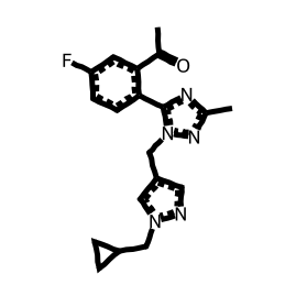 CC(=O)c1cc(F)ccc1-c1nc(C)nn1Cc1cnn(CC2CC2)c1